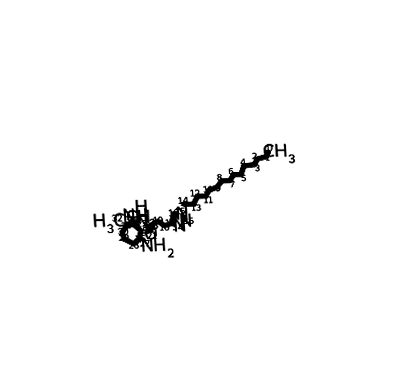 CCCCCCCCCCCCCCCn1cc(CCC(=O)NC2(C)CC(N)CCCC2(C)N)nn1